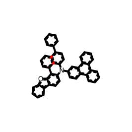 c1ccc(-c2ccc(N(c3ccc4c5ccccc5c5ccccc5c4c3)c3ccc4c(oc5ccccc54)c3-c3ccccc3)cc2)cc1